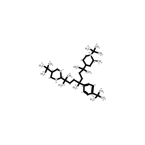 C[C@H]1CC(C(C)(C)CCC(C)(CCC(C)(C)C2OCC(C(C)(C)C)CO2)c2ccc(C(C)(C)C)cc2)CCN1C(C)(C)C